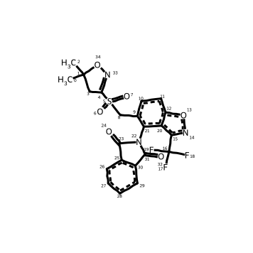 CC1(C)CC(S(=O)(=O)Cc2ccc3onc(C(F)(F)F)c3c2N2C(=O)c3ccccc3C2=O)=NO1